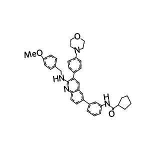 COc1ccc(CNc2nc3ccc(-c4cccc(NC(=O)C5CCCC5)c4)cc3cc2-c2ccc(N3CCOCC3)cc2)cc1